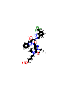 CCn1nc(C(=O)N[C@@H](Cc2ccccc2)[C@H](O)CNCc2cccc(C(F)(F)F)c2)cc1C(=O)N(CCCCCO)C1CC1